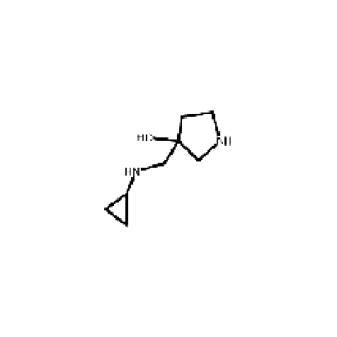 OC1(CNC2CC2)CCNC1